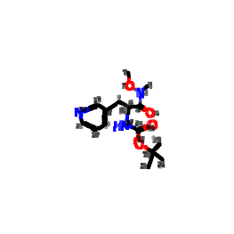 CON(C)C(=O)[C@H](Cc1cccnc1)NC(=O)OC(C)(C)C